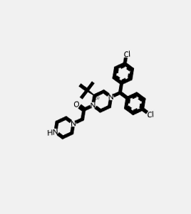 CC(C)(C)[C@H]1CN(C(c2ccc(Cl)cc2)c2ccc(Cl)cc2)CCN1C(=O)CN1CCNCC1